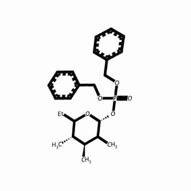 CCC1O[C@H](OP(=O)(OCc2ccccc2)OCc2ccccc2)C(C)[C@@H](C)[C@@H]1C